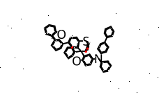 c1ccc(-c2ccc(N(c3ccccc3)c3ccc4c(c3)C3(c5ccccc5O4)c4ccccc4Sc4ccc(-c5cccc6c5oc5ccccc56)cc43)cc2)cc1